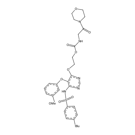 COc1cccc(Oc2c(NS(=O)(=O)c3ccc(C(C)(C)C)cc3)ncnc2OCCOC(=O)NCC(=O)N2CCOCC2)c1